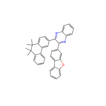 CC1(C)c2ccccc2-c2cc(-c3nc4ccccc4nc3-c3ccc4c(c3)oc3ccccc34)ccc2C1(C)C